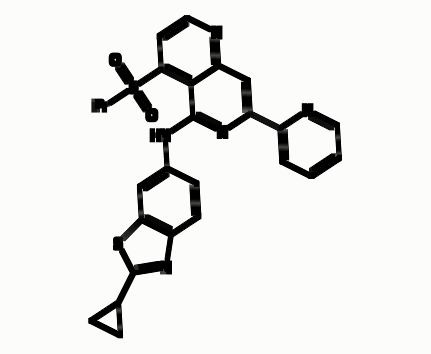 CC(C)S(=O)(=O)c1ccnc2cc(-c3ccccn3)nc(Nc3ccc4nc(C5CC5)sc4c3)c12